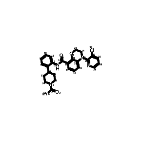 CC(C)C(=O)N1CCC(c2ccccc2NC(=O)c2cccc3c2OCCN3c2ncccc2Cl)CC1